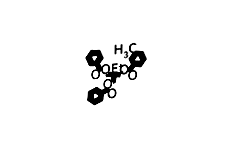 CCC(COC(=O)c1ccccc1)(COC(=O)c1ccccc1)COC(=O)c1cccc(C)c1